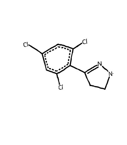 Clc1cc(Cl)c(C2=N[N]CC2)c(Cl)c1